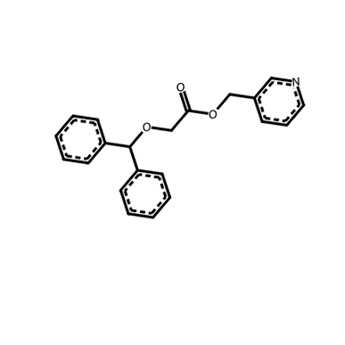 O=C(COC(c1ccccc1)c1ccccc1)OCc1cccnc1